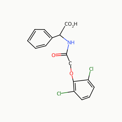 O=C(COc1c(Cl)cccc1Cl)NC(C(=O)O)c1ccccc1